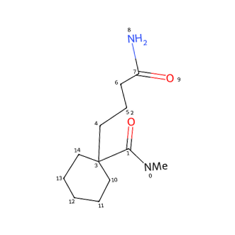 CNC(=O)C1(CCCC(N)=O)CCCCC1